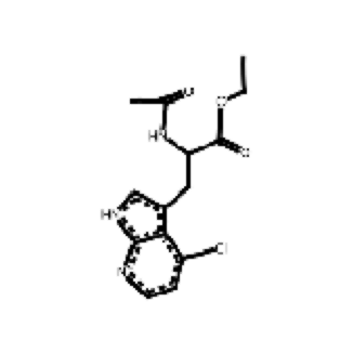 CCOC(=O)C(Cc1c[nH]c2nccc(Cl)c12)NC(C)=O